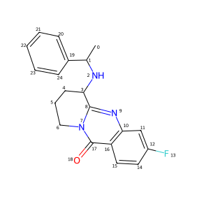 CC(NC1CCCn2c1nc1cc(F)ccc1c2=O)c1ccccc1